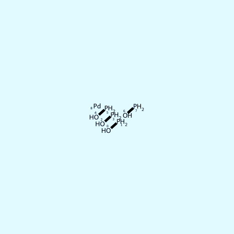 OP.OP.OP.OP.[Pd]